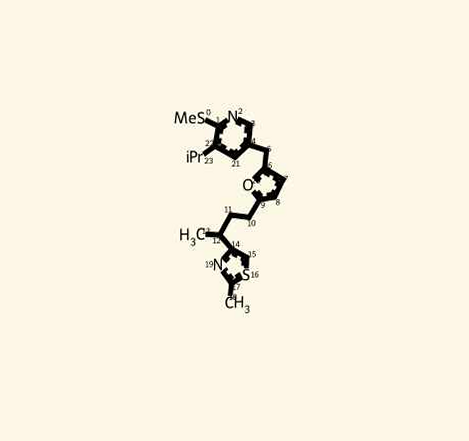 CSc1ncc(Cc2ccc(CCC(C)c3csc(C)n3)o2)cc1C(C)C